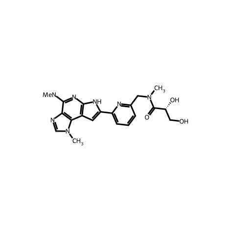 CNc1nc2[nH]c(-c3cccc(CN(C)C(=O)[C@H](O)CO)n3)cc2c2c1ncn2C